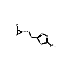 Nc1nnc(OC[C@@H]2C[C@H]2F)s1